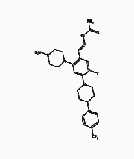 CN1CCN(c2cc(N3CCC(c4ccc(C(F)(F)F)cc4)CC3)c(F)cc2/C=N/NC(N)=S)CC1